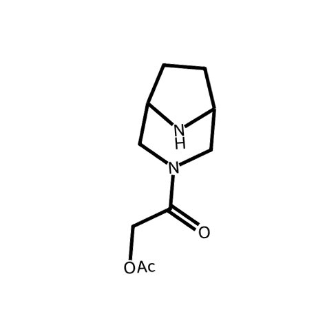 CC(=O)OCC(=O)N1CC2CCC(C1)N2